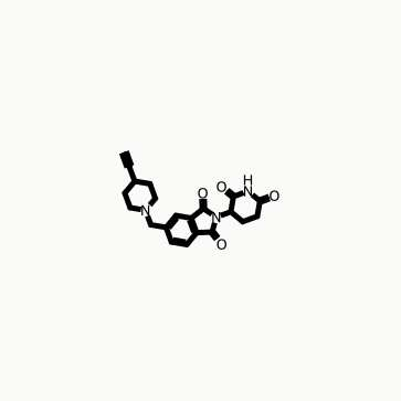 C#CC1CCN(Cc2ccc3c(c2)C(=O)N(C2CCC(=O)NC2=O)C3=O)CC1